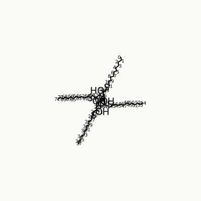 CCCCCCCCCCCCSCC(O)CN(CCN(CC(O)CSCCCCCCCCCCCC)CC(O)CSCCCCCCCCCCCC)CC(O)CSCCCCCCCCCCCC